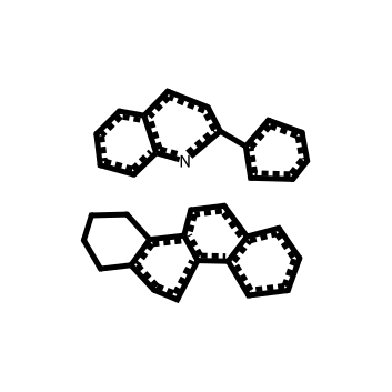 c1ccc(-c2ccc3ccccc3n2)cc1.c1ccc2c(c1)ccc1c3c(ccc12)CCCC3